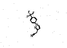 N#CCc1ccn(-c2ccc(C(F)(F)F)cc2)n1